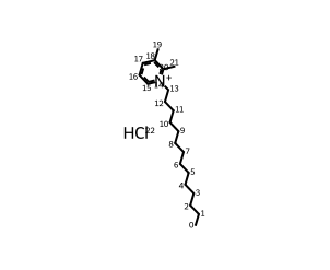 CCCCCCCCCCCCCC[n+]1cccc(C)c1C.Cl